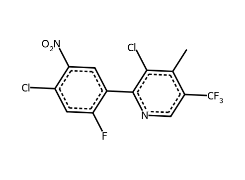 Cc1c(C(F)(F)F)cnc(-c2cc([N+](=O)[O-])c(Cl)cc2F)c1Cl